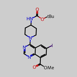 COC(=O)c1cc(I)cc2c(N3CCC(NC(=O)OC(C)(C)C)CC3)ncnc12